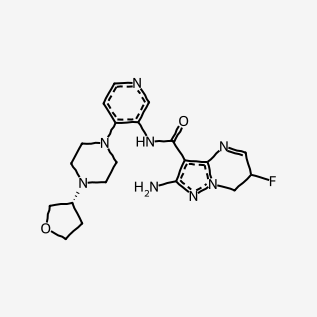 Nc1nn2c(c1C(=O)Nc1cnccc1N1CCN([C@@H]3CCOC3)CC1)N=CC(F)C2